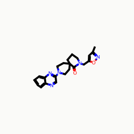 Cc1cc(CN2CCCC3(CCN(c4cnc5ccccc5n4)CC3)C2=O)on1